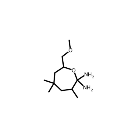 COCC1CC(C)(C)CC(C)C(N)(N)O1